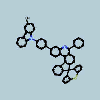 N#Cc1ccc2c(c1)c1ccccc1n2-c1ccc(-c2ccc3c(c2)nc(-c2ccccc2)c2ccc4c(c23)-c2ccccc2C42c3ccccc3Sc3ccccc32)cc1